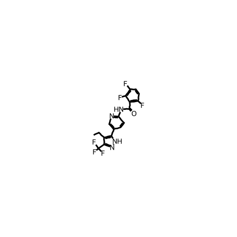 CCc1c(C(F)(F)F)n[nH]c1-c1ccc(NC(=O)c2c(F)ccc(F)c2F)nc1